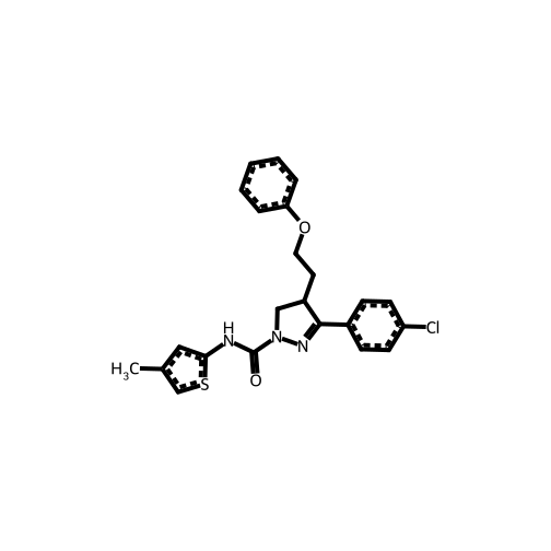 Cc1csc(NC(=O)N2CC(CCOc3ccccc3)C(c3ccc(Cl)cc3)=N2)c1